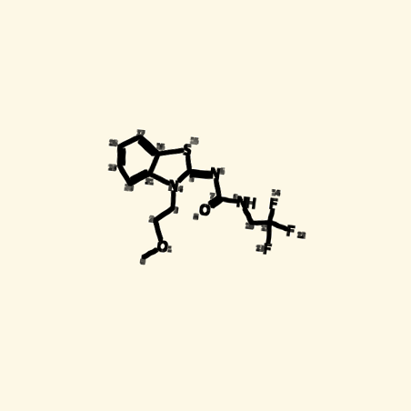 COCCn1c(=NC(=O)NCC(F)(F)F)sc2ccccc21